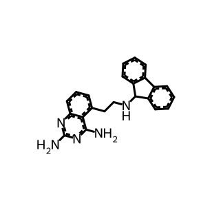 Nc1nc(N)c2c(CCNC3c4ccccc4-c4ccccc43)cccc2n1